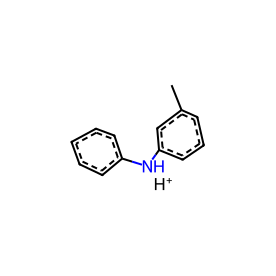 Cc1cccc(Nc2ccccc2)c1.[H+]